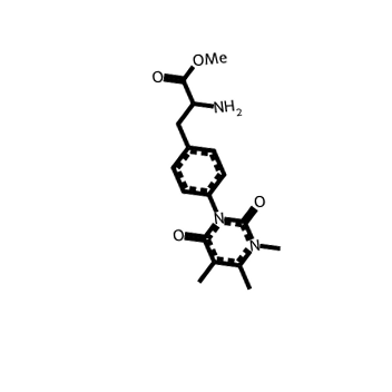 COC(=O)C(N)Cc1ccc(-n2c(=O)c(C)c(C)n(C)c2=O)cc1